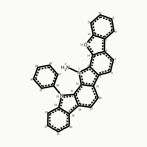 Nn1c2c(ccc3c4ccccc4oc32)c2ccc3c4ccccc4n(-c4ccccc4)c3c21